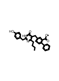 CCCCc1nc(Cc2ccc(O)cc2)[nH]c(=O)c1Cc1ccc(-c2ccccc2)c(C(=O)OC)c1